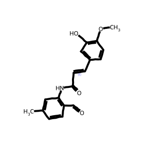 COc1ccc(/C=C/C(=O)Nc2cc(C)ccc2C=O)cc1O